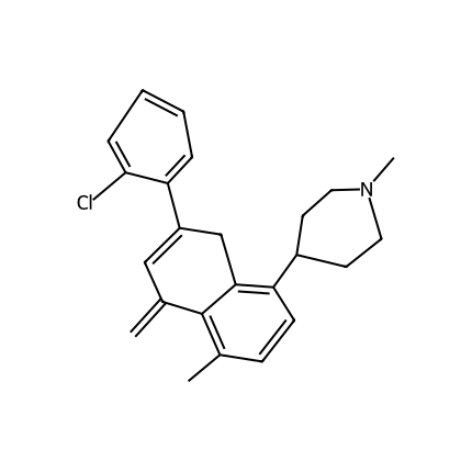 C=C1C=C(c2ccccc2Cl)Cc2c(C3CCN(C)CC3)ccc(C)c21